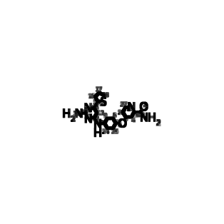 NC(=O)c1cc(Oc2ccc(Nc3cc(-c4cccs4)nc(N)n3)cc2)ccn1